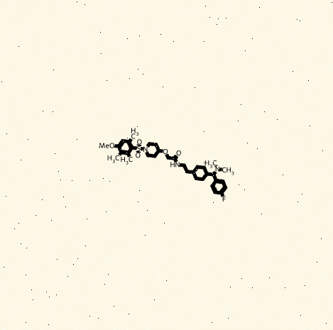 COc1cc(C)c(S(=O)(=O)N2CCC(OCC(=O)NCCC3CCC(C(c4ccc(F)cc4)N(C)C)CC3)CC2)c(C)c1C